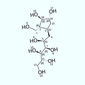 OC[C@H]1[C@H](C[C@H](O)[C@@H](O)[C@H](O)[C@H](O)CO)C[C@@H](O)[C@@H]1O